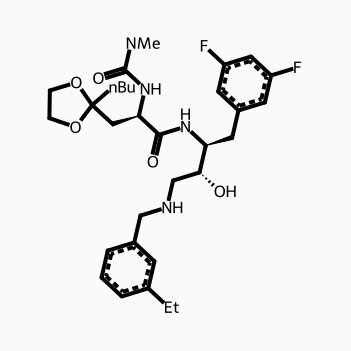 CCCCC1(C[C@@H](NC(=O)NC)C(=O)N[C@@H](Cc2cc(F)cc(F)c2)[C@H](O)CNCc2cccc(CC)c2)OCCO1